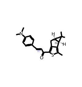 Cc1sc(C(=O)/C=C/c2ccc(N(C)C)cc2)c2c1[C@H]1[C@@H](C2)C1(C)C